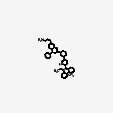 CC[N+]1=C2C=CC=C[C@]2(C)C2C=CCCC2=C1C1C=CC(C2CCCC(C3=NC4C=C(/C=C\CN)C=CC4C(C4=CC=CCC4)C3)C2)=CN1